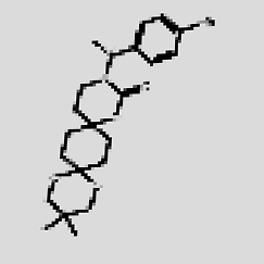 C[C@@H](c1ccc(C(C)(C)C)cc1)N1CCC2(CCC3(CC2)OCC(C)(C)CO3)OC1=O